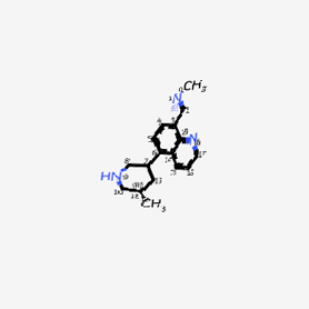 C/N=C/c1ccc(C2CNC[C@H](C)C2)c2cccnc12